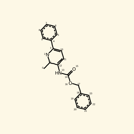 CC1[N]C(c2ccccc2)=CC=C1NC(=O)OCc1ccccc1